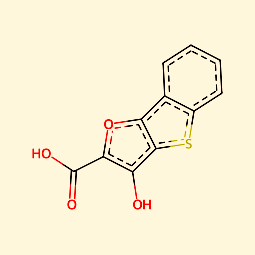 O=C(O)c1oc2c(sc3ccccc32)c1O